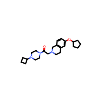 O=C(CN1CCc2cc(OC3CCCC3)ccc2C1)N1CCN(C2CCC2)CC1